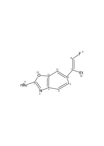 CCCCc1nc2ccc(C(=CF)CC)cc2o1